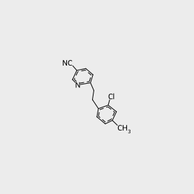 Cc1ccc(CCc2ccc(C#N)cn2)c(Cl)c1